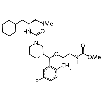 CNC[C@H](CC1CCCCC1)NC(=O)N1CCC[C@@H]([C@@H](OCCNC(=O)OC)c2cc(F)ccc2C)C1